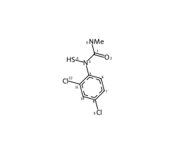 CNC(=O)N(S)c1ccc(Cl)cc1Cl